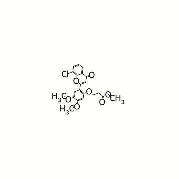 COC(=O)CCOc1cc(OC)c(OC)cc1-c1cc(=O)c2cccc(Cl)c2o1